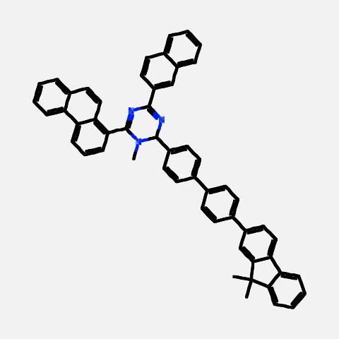 CN1C(c2cccc3c2ccc2ccccc23)=NC(c2ccc3ccccc3c2)=NC1c1ccc(-c2ccc(-c3ccc4c(c3)C(C)(C)c3ccccc3-4)cc2)cc1